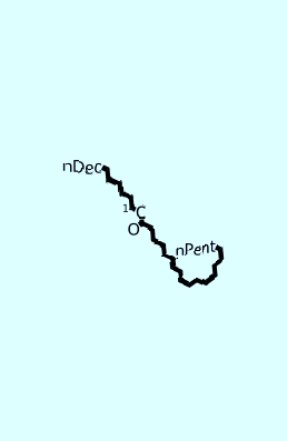 CCCCC/C=C\C/C=C\C/C=C\C/C=[C]/CCCCC(=O)[14CH2]CCCCCCCCCCCCCCCC